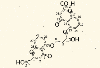 O=C(O)c1cc(=O)c2c(OCCC(O)Oc3cccc4oc(C(=O)O)cc(=O)c34)cccc2o1